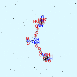 O=C(COCCOCCOCCNC1CN(CCN2C(=O)C=CC2=O)CC1NCCOCCOCCOCC(=O)NCC1O[C@H]2OCC(=O)N[C@H]2C(O)C1O)NCC1O[C@H]2OCC(=O)N[C@H]2C(O)C1O